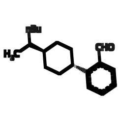 CCCCC(C)[C@H]1CC[C@H](c2ccccc2C=O)CC1